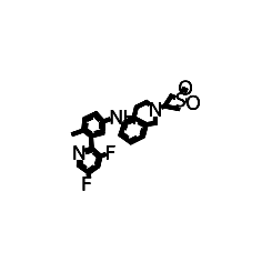 Cc1ccc(Nc2cccc3c2CCN(C2CS(=O)(=O)C2)C3)cc1-c1ncc(F)cc1F